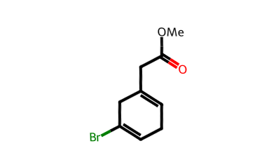 COC(=O)CC1=CCC=C(Br)C1